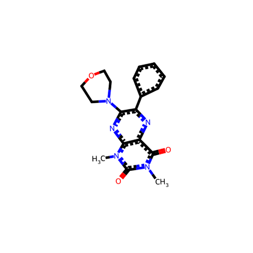 Cn1c(=O)c2nc(-c3ccccc3)c(N3CCOCC3)nc2n(C)c1=O